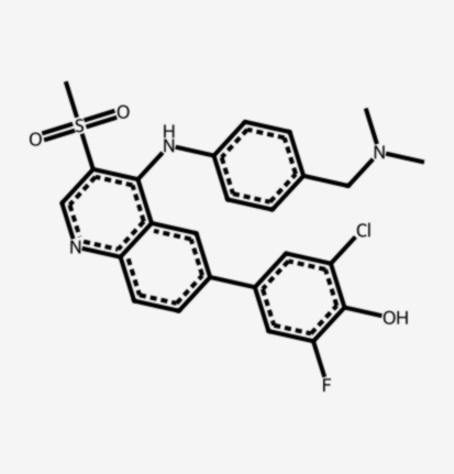 CN(C)Cc1ccc(Nc2c(S(C)(=O)=O)cnc3ccc(-c4cc(F)c(O)c(Cl)c4)cc23)cc1